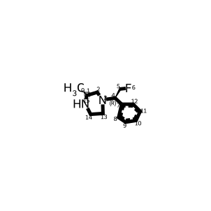 C[C@@H]1CN([C@@H](CF)c2ccccc2)CCN1